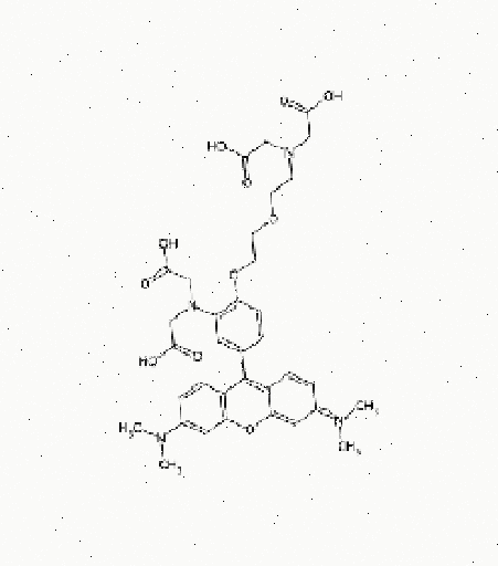 CN(C)c1ccc2c(-c3ccc(OCCOCCN(CC(=O)O)CC(=O)O)c(N(CC(=O)O)CC(=O)O)c3)c3ccc(=[N+](C)C)cc-3oc2c1